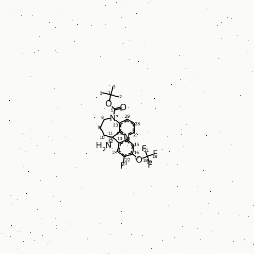 CC(C)(C)OC(=O)N1CCC[C@](N)(c2ccc(OC(F)(F)F)c(F)c2)c2ncccc21